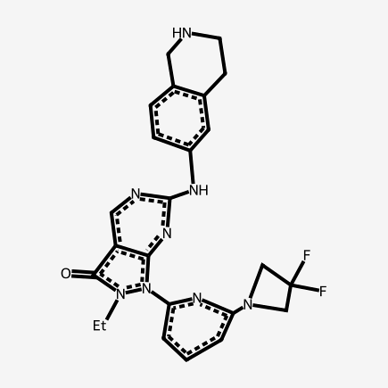 CCn1c(=O)c2cnc(Nc3ccc4c(c3)CCNC4)nc2n1-c1cccc(N2CC(F)(F)C2)n1